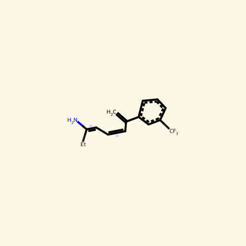 C=C(/C=C\C=C(\N)CC)c1cccc(C(F)(F)F)c1